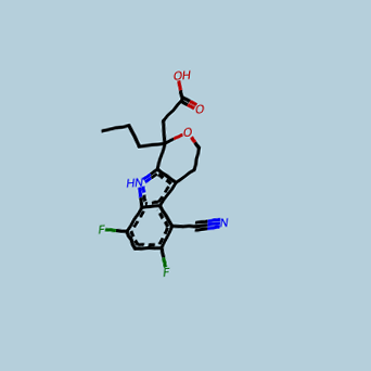 CCCC1(CC(=O)O)OCCc2c1[nH]c1c(F)cc(F)c(C#N)c21